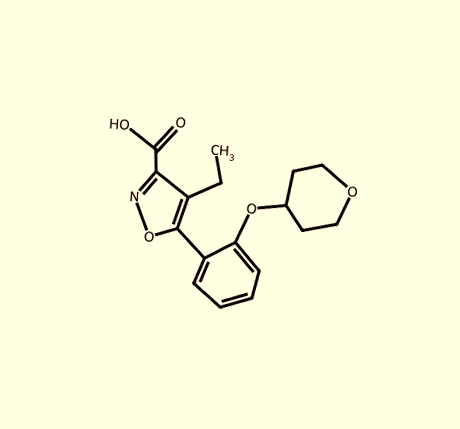 CCc1c(C(=O)O)noc1-c1ccccc1OC1CCOCC1